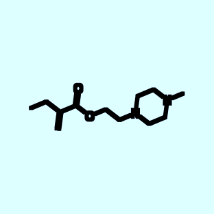 C=C(CC)C(=O)OCCN1CCN(C)CC1